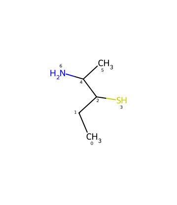 CCC(S)C(C)N